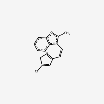 Cc1oc2ccccc2c1/C=C\C1=NCC(Cl)=C1